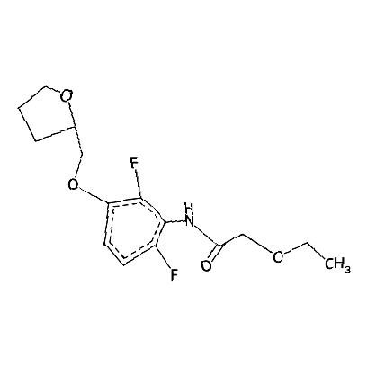 CCOCC(=O)Nc1c(F)ccc(OCC2CCCO2)c1F